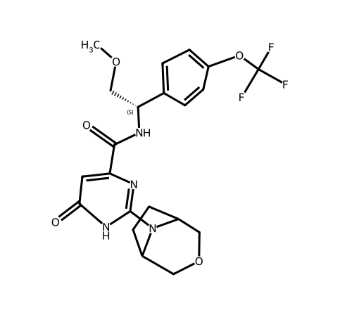 COC[C@@H](NC(=O)c1cc(=O)[nH]c(N2C3CCC2COC3)n1)c1ccc(OC(F)(F)F)cc1